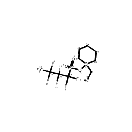 CC(=O)CS1(OS(=O)(=O)C(F)(F)C(F)(F)C(F)(F)C(F)(F)F)CCCCC1